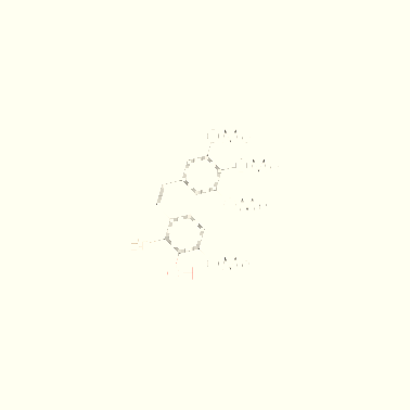 COc1ccc(/C=C\c2cc(OC)c(OC)c(OC)c2)c(Br)c1O